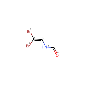 O=CNC=C(Br)Br